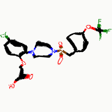 O=C(O)COc1ccc(Cl)cc1N1CCN(S(=O)(=O)Cc2ccc(OC(F)(F)F)cc2)CC1